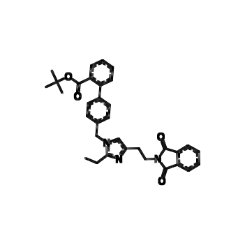 CCc1nc(CCN2C(=O)c3ccccc3C2=O)cn1Cc1ccc(-c2ccccc2C(=O)OC(C)(C)C)cc1